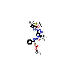 CCOC(=O)OC[C@@H](NC(=O)N1Cc2c(NC(=O)C3(S(C)(C)C)CCC3)n[nH]c2C1(C)C)c1ccccc1